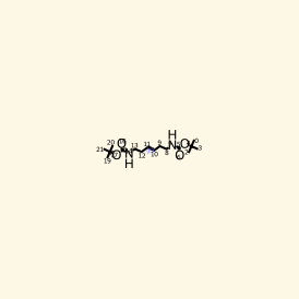 CC(C)(C)OC(=O)NCC/C=C/CCNC(=O)OC(C)(C)C